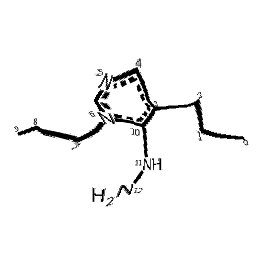 CCCc1cnn(CCC)c1NN